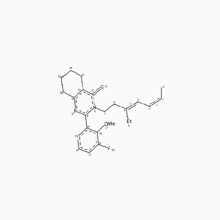 C/C=C\C=C(/CC)CCn1c(-c2cccc(F)c2OC)nc2c(c1=O)CCCC2